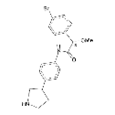 CO[C@H](C(=O)Nc1ccc(C2CCNC2)cc1)c1ccc(Br)cc1